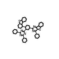 c1ccc(-c2nc(-c3ccccc3)nc(-c3cc(-c4nc(-c5ccccc5)c5sc6ccccc6c5n4)ccc3-c3cccc4sc5ccccc5c34)n2)cc1